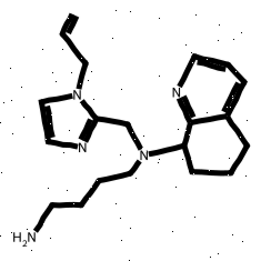 C=CCn1ccnc1CN(CCCCN)C1CCCc2cccnc21